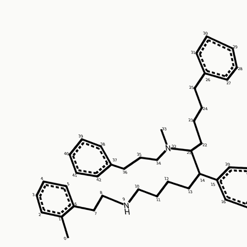 Cc1ccccc1CCNCCCCC(c1ccccc1)C(CCCCc1ccccc1)N(C)CCCc1ccccc1